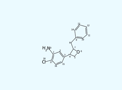 Nc1cc([C]2COC2Cc2ccccc2)ccc1Cl